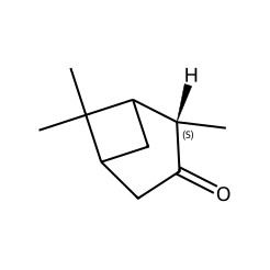 C[C@@H]1C(=O)CC2CC1C2(C)C